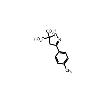 O=C(O)C1(C(=O)O)CC(c2ccc(C(F)(F)F)cc2)=NO1